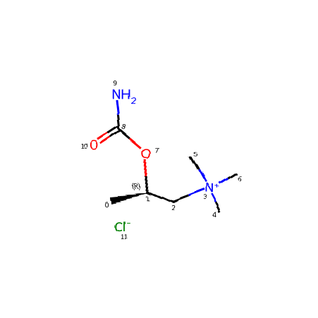 C[C@H](C[N+](C)(C)C)OC(N)=O.[Cl-]